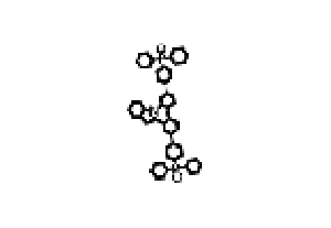 O=P(c1ccccc1)(c1ccccc1)c1ccc(-c2ccc3c4ccc(-c5ccc(P(=O)(c6ccccc6)c6ccccc6)cc5)cc4n4c5ccccc5cc4c3c2)cc1